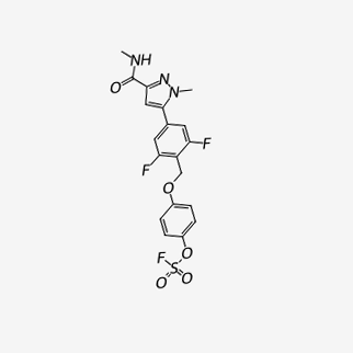 CNC(=O)c1cc(-c2cc(F)c(COc3ccc(OS(=O)(=O)F)cc3)c(F)c2)n(C)n1